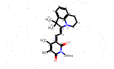 CCCCCCN1C(=O)C(C#N)=C(C)/C(=C/C=C2/N3CCCc4cccc(c43)C2(C)C)C1=O